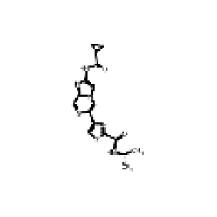 C[C@@H](NC(=O)c1nc(-c2cn3cc(NC(=O)C4CC4)nc3cn2)cs1)C(F)(F)F